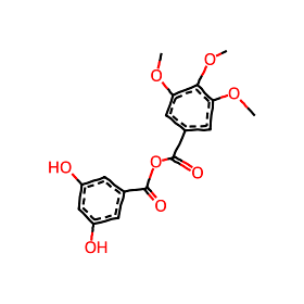 COc1cc(C(=O)OC(=O)c2cc(O)cc(O)c2)cc(OC)c1OC